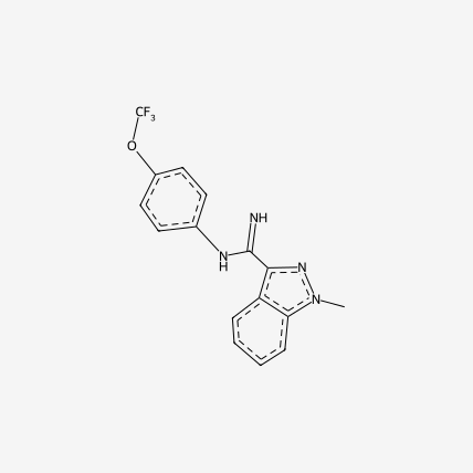 Cn1nc(C(=N)Nc2ccc(OC(F)(F)F)cc2)c2ccccc21